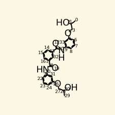 CC(O)COc1cccc(NC(=O)c2cccc(C(=O)Nc3cccc(OCC(C)O)c3)c2)c1